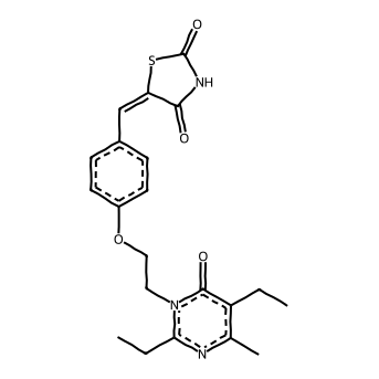 CCc1c(C)nc(CC)n(CCOc2ccc(C=C3SC(=O)NC3=O)cc2)c1=O